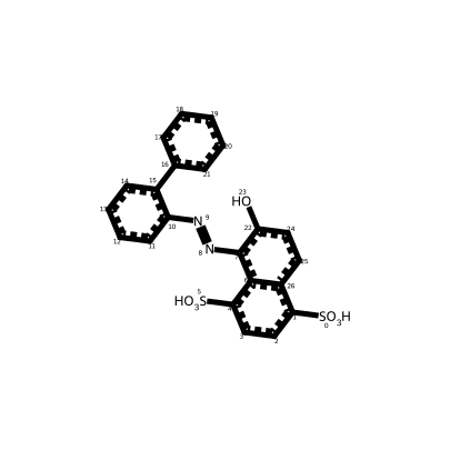 O=S(=O)(O)c1ccc(S(=O)(=O)O)c2c(N=Nc3ccccc3-c3ccccc3)c(O)ccc12